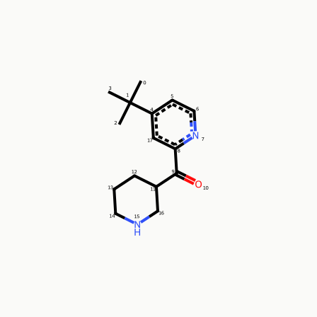 CC(C)(C)c1ccnc(C(=O)C2CCCNC2)c1